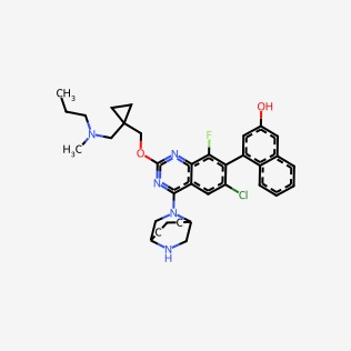 CCCN(C)CC1(COc2nc(N3CC4CCCC3CN4)c3cc(Cl)c(-c4cc(O)cc5ccccc45)c(F)c3n2)CC1